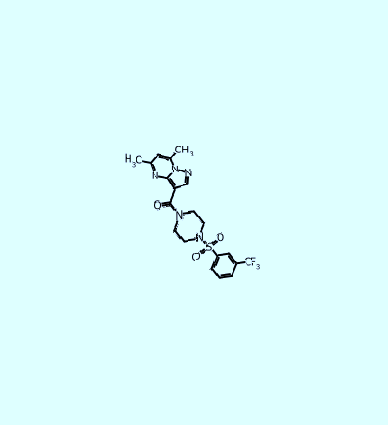 Cc1cc(C)n2ncc(C(=O)N3CCN(S(=O)(=O)c4cccc(C(F)(F)F)c4)CC3)c2n1